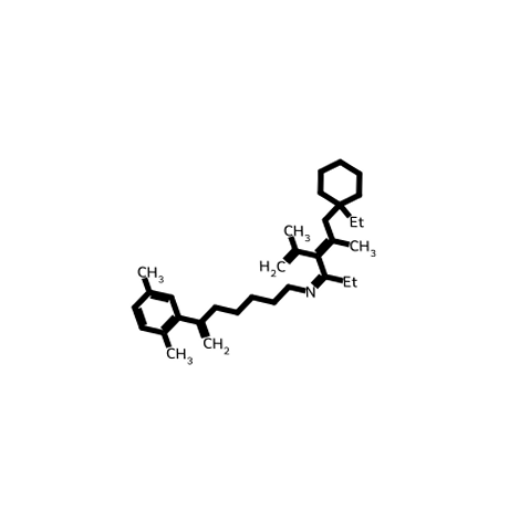 C=C(C)C(/C(CC)=N\CCCCCC(=C)c1cc(C)ccc1C)=C(/C)CC1(CC)CCCCC1